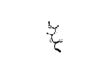 C=CC(=O)OC(C)OC(C)OC